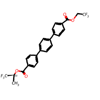 C[C@H](OC(=O)c1ccc(-c2ccc(-c3ccc(C(=O)OCC(F)(F)F)cc3)cc2)cc1)C(F)(F)F